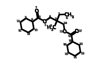 CCC(C)(COC(=O)C1CCCCC1)COC(=O)C1CCCCC1